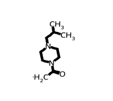 [CH2]C(=O)N1CCN(CC(C)C)CC1